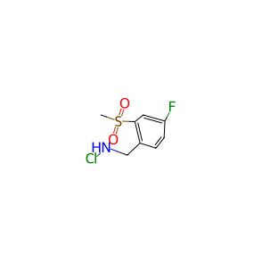 CS(=O)(=O)c1cc(F)ccc1CNCl